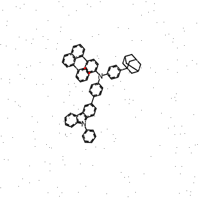 c1ccc(-c2cccc3cccc(-c4ccc(N(c5ccc(-c6ccc7c(c6)c6ccccc6n7-c6ccccc6)cc5)c5ccc(C67CC8CC(CC(C8)C6)C7)cc5)cc4)c23)cc1